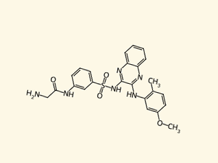 COc1ccc(C)c(Nc2nc3ccccc3nc2NS(=O)(=O)c2cccc(NC(=O)CN)c2)c1